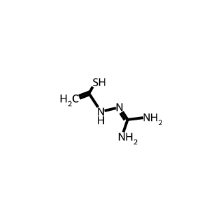 C=C(S)NN=C(N)N